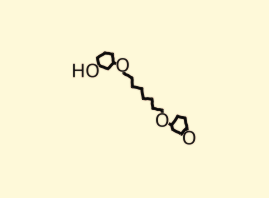 OC1CCCC(OCCCCCCCCOC2CCC3OC3C2)C1